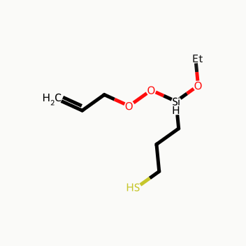 C=CCOO[SiH](CCCS)OCC